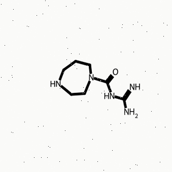 N=C(N)NC(=O)N1CCCNCC1